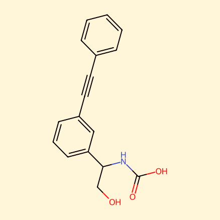 O=C(O)NC(CO)c1cccc(C#Cc2ccccc2)c1